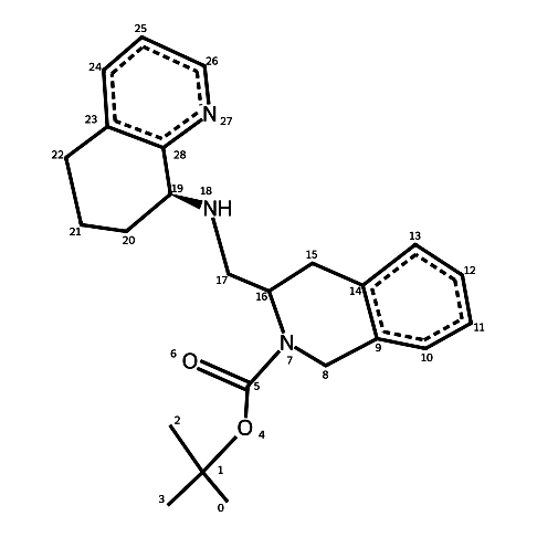 CC(C)(C)OC(=O)N1Cc2ccccc2CC1CN[C@H]1CCCc2cccnc21